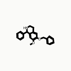 COc1cc2c(cc1OCc1ccccc1)CCNC2c1ccccc1